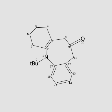 CC(C)(C)N1C2=C(CCCC2)CC(=O)Cc2ccccc21